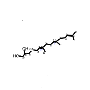 CC(C)=CCC/C(C)=C/CC/C(C)=C/CSCC(O)CO